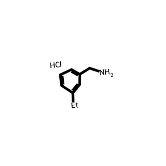 CCc1cccc(CN)c1.Cl